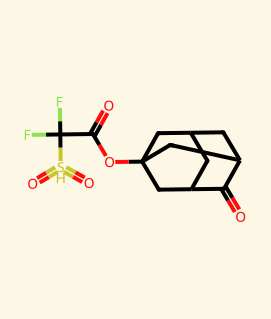 O=C1C2CC3CC1CC(OC(=O)C(F)(F)[SH](=O)=O)(C3)C2